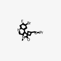 CC(C)OCC1CC2(C1)C(=O)N(C)c1cnc3cc(F)c(Br)cc3c12